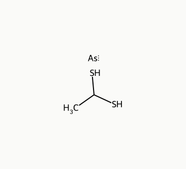 CC(S)S.[As]